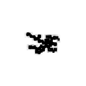 CSc1ncn2cc(C3=C(C(=O)O)N4C(=O)[C@H]([C@@H](C)O)[C@@H]4[C@@]3(C)CCOC(=O)OCCC(C)C)sc12